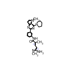 C=N/C(N)=C\C=C(/C)C(=O)Nc1cccc(-c2nc(N3CCCCC3)c3c(ccn3C)n2)c1